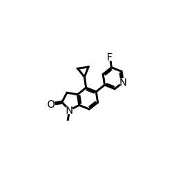 CN1C(=O)Cc2c1ccc(-c1cncc(F)c1)c2C1CC1